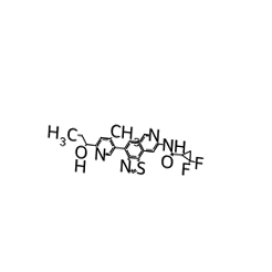 CCC(O)c1cc(C)c(-c2cc3cnc(NC(=O)C4CC4(F)F)cc3c3scnc23)cn1